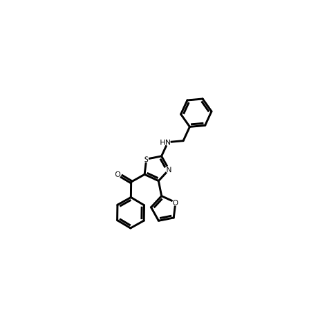 O=C(c1ccccc1)c1sc(NCc2ccccc2)nc1-c1ccco1